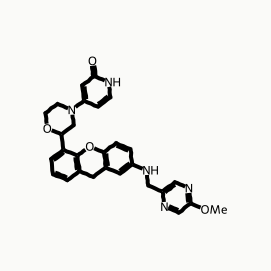 COc1cnc(CNc2ccc3c(c2)Cc2cccc(C4CN(c5cc[nH]c(=O)c5)CCO4)c2O3)cn1